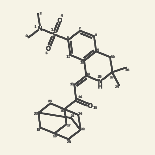 CN(C)S(=O)(=O)c1ccc2c(c1)C(=CC(=O)C13CC4CC(CC(C4)C1)C3)NC(C)(C)C2